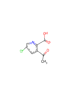 CC(=O)c1cc(Cl)cnc1C(=O)O